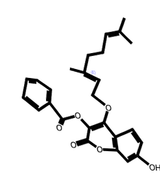 CC(C)=CCC/C(C)=C/COc1c(OC(=O)c2ccccc2)c(=O)oc2cc(O)ccc12